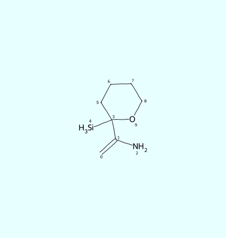 C=C(N)C1([SiH3])CCCCO1